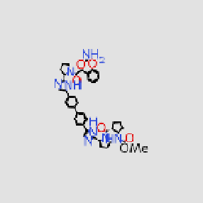 COC(=O)N[C@@H]1CCC[C@H]1C(=O)N1CCC[C@H]1c1ncc(-c2ccc(-c3ccc(-c4cnc([C@@H]5CCCN5C(=O)[C@H](OC(N)=O)c5ccccc5)[nH]4)cc3)cc2)[nH]1